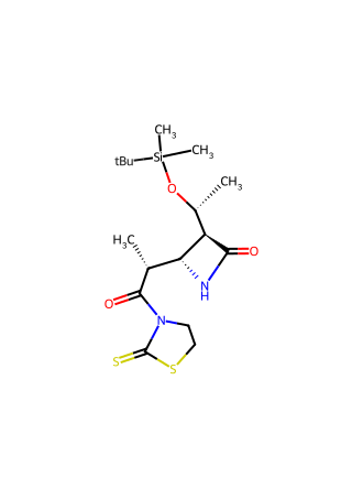 C[C@@H](O[Si](C)(C)C(C)(C)C)[C@H]1C(=O)N[C@@H]1[C@@H](C)C(=O)N1CCSC1=S